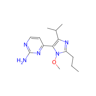 CCCc1nc(C(C)C)c(-c2ccnc(N)n2)n1OC